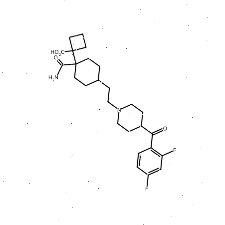 NC(=O)C1(C2(C(=O)O)CCC2)CCC(CCN2CCC(C(=O)c3ccc(F)cc3F)CC2)CC1